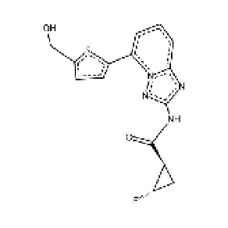 O=C(Nc1nc2cccc(-c3ccc(CO)s3)n2n1)[C@H]1C[C@@H]1F